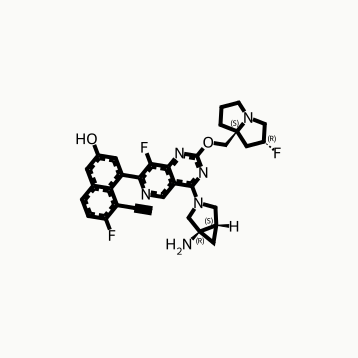 C#Cc1c(F)ccc2cc(O)cc(-c3ncc4c(N5C[C@@H]6C[C@]6(N)C5)nc(OC[C@@]56CCCN5C[C@H](F)C6)nc4c3F)c12